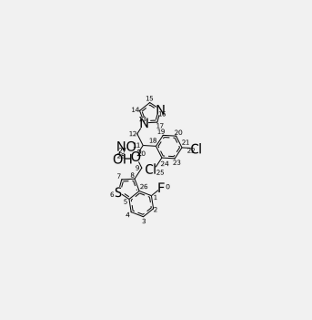 Fc1cccc2scc(COC(Cn3ccnc3)c3ccc(Cl)cc3Cl)c12.O=[N+]([O-])O